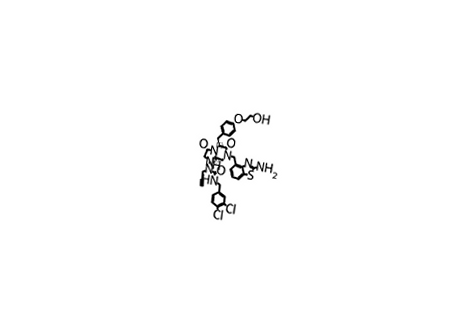 C#CCN(C(=O)NCc1ccc(Cl)c(Cl)c1)N1CC(=O)N2[C@@H](Cc3ccc(OCCO)cc3)C(=O)N(Cc3cccc4sc(N)nc34)C[C@@H]21